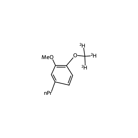 [2H]C([2H])([2H])Oc1ccc(CCC)cc1OC